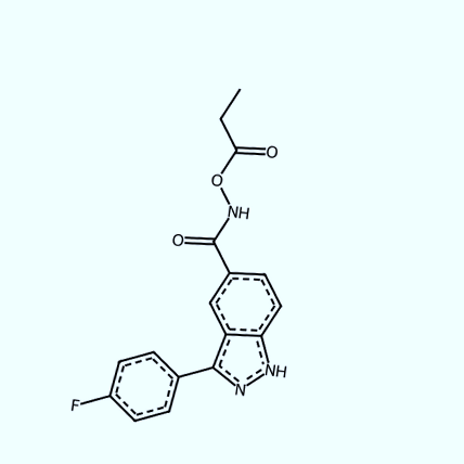 CCC(=O)ONC(=O)c1ccc2[nH]nc(-c3ccc(F)cc3)c2c1